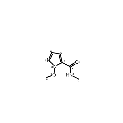 CNC(=O)c1ccnn1OC